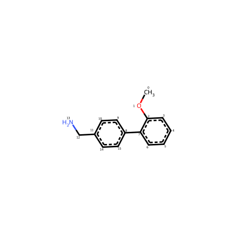 COc1ccccc1-c1ccc(CN)cc1